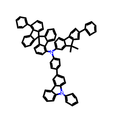 CC1(C)c2cc(-c3ccccc3)ccc2-c2ccc(N(c3ccc(-c4ccc5c(c4)c4ccccc4n5-c4ccccc4)cc3)c3cccc4c3-c3ccccc3C43c4ccccc4-c4c(-c5ccccc5)cccc43)cc21